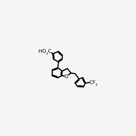 O=C(O)c1cccc(-c2cccc3c2CC(Cc2cccc(C(F)(F)F)c2)O3)c1